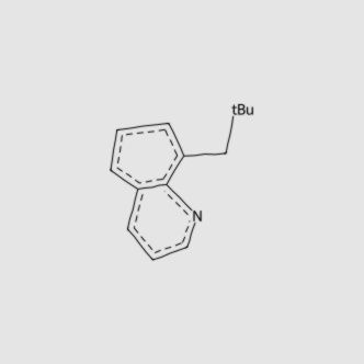 CC(C)(C)Cc1cccc2cccnc12